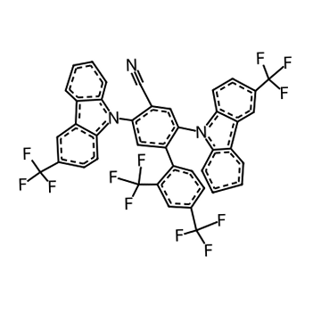 N#Cc1cc(-n2c3ccccc3c3cc(C(F)(F)F)ccc32)c(-c2ccc(C(F)(F)F)cc2C(F)(F)F)cc1-n1c2ccccc2c2cc(C(F)(F)F)ccc21